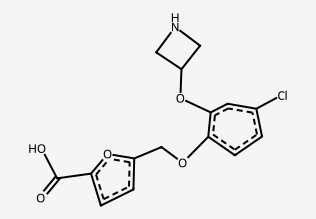 O=C(O)c1ccc(COc2ccc(Cl)cc2OC2CNC2)o1